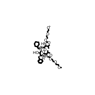 COCCOCCOC(=O)N[C@H](C(=O)N[C@@H](Cc1ccccc1)[C@@H](O)CN(CC1CCCCC1)NC(=O)[C@@H](NC(=O)OCCOCCOC)C(C)C)C(C)C